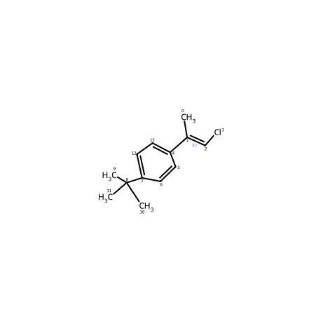 C/C(=C\Cl)c1ccc(C(C)(C)C)cc1